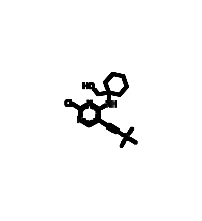 C[Si](C)(C)C#Cc1cnc(Cl)nc1NC1(CO)CCCCC1